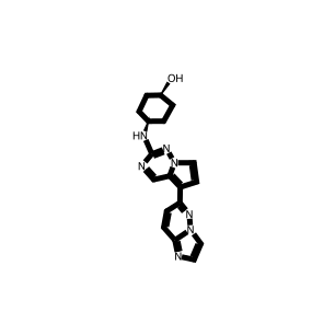 O[C@H]1CC[C@@H](Nc2ncc3c(-c4ccc5nccn5n4)ccn3n2)CC1